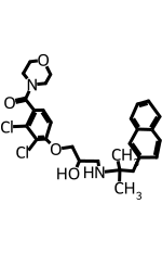 CC(C)(Cc1ccc2ccccc2c1)NCC(O)COc1ccc(C(=O)N2CCOCC2)c(Cl)c1Cl